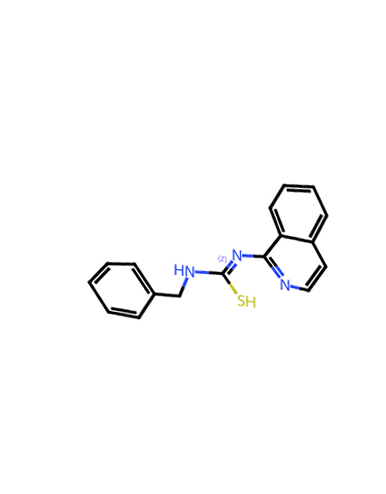 S/C(=N\c1nccc2ccccc12)NCc1ccccc1